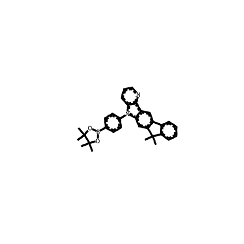 CC1(C)c2ccccc2-c2cc3c4ncccc4n(-c4ccc(B5OC(C)(C)C(C)(C)O5)cc4)c3cc21